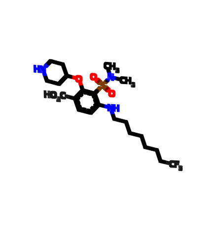 CN(C)S(=O)(=O)c1c(NCCCCCCCC(F)(F)F)ccc(C(=O)O)c1OC1CCNCC1